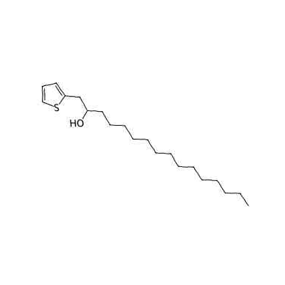 CCCCCCCCCCCCCCC(O)Cc1cccs1